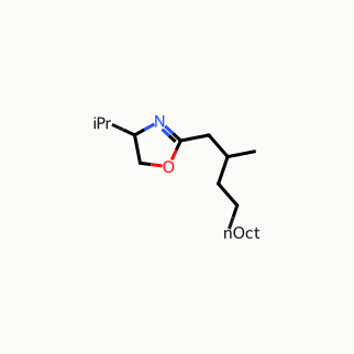 CCCCCCCCCCC(C)CC1=NC(C(C)C)CO1